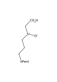 CCCCCCCC[S+]([O-])CC(=O)O